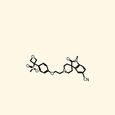 CN1C(=O)C2(CCN(CCOc3ccc(C4(S(C)(=O)=O)COC4)cc3)CC2)c2cc(C#N)ccc21